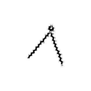 CCCCCCCCCCCCCCCCCCN(CCCCCCCCCCCCCCCCCC)c1ccncc1